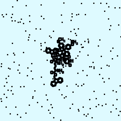 COc1ccc(C(c2ccccc2)(c2ccc(OC)cc2)C(O)[C@H]2O[C@@H](n3ccc(=O)[nH]c3=O)[C@H](NC(=O)[C@@](N)(CCCC(N)C(=O)OCC3c4ccccc4-c4ccccc43)C(=O)OCC3c4ccccc4-c4ccccc43)[C@@H]2O)cc1